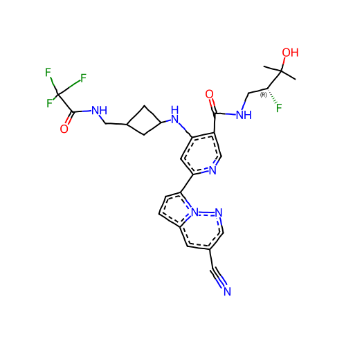 CC(C)(O)[C@H](F)CNC(=O)c1cnc(-c2ccc3cc(C#N)cnn23)cc1NC1CC(CNC(=O)C(F)(F)F)C1